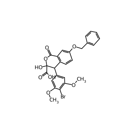 COc1cc(C2c3ccc(OCc4ccccc4)cc3C(=O)OC2(O)C(=O)O)cc(OC)c1Br